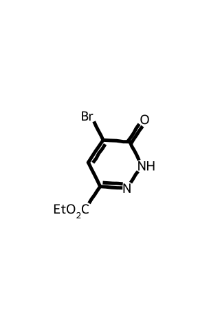 CCOC(=O)c1cc(Br)c(=O)[nH]n1